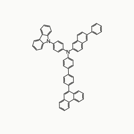 c1ccc(-c2ccc3cc(N(c4ccc(-c5ccc(-c6cc7ccccc7c7ccccc67)cc5)cc4)c4ccc(-n5c6ccccc6c6ccccc65)cc4)ccc3c2)cc1